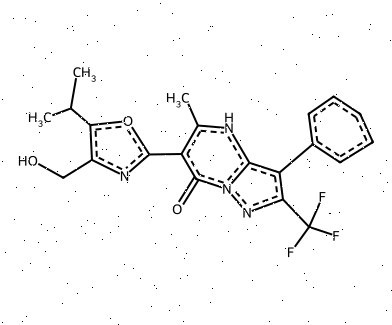 Cc1[nH]c2c(-c3ccccc3)c(C(F)(F)F)nn2c(=O)c1-c1nc(CO)c(C(C)C)o1